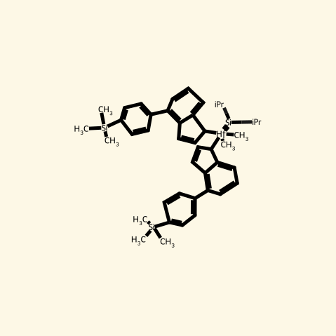 CC(C)[Si](C(C)C)=[Hf]([CH3])([CH3])([CH]1C=Cc2c(-c3ccc([Si](C)(C)C)cc3)cccc21)[CH]1C=Cc2c(-c3ccc([Si](C)(C)C)cc3)cccc21